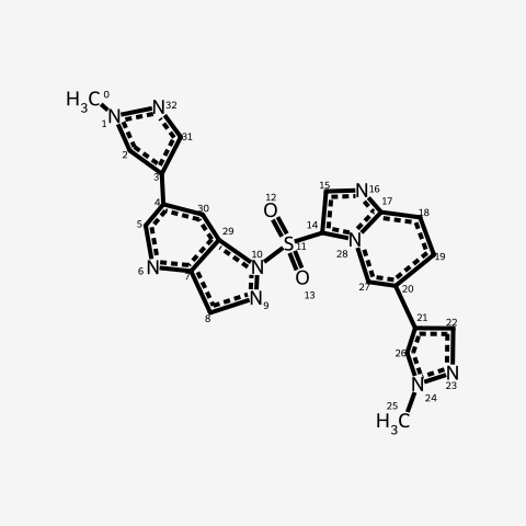 Cn1cc(-c2cnc3cnn(S(=O)(=O)c4cnc5ccc(-c6cnn(C)c6)cn45)c3c2)cn1